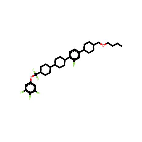 CCCCOCC1CCC(c2ccc(C3CCC(C4CCC(C(F)(F)Oc5cc(F)c(F)c(F)c5)CC4)CC3)c(F)c2)CC1